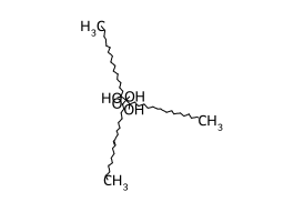 CCCCCCCCC=CCCCCCCCC(=O)C(O)(C(O)CCCCCCCCCCCCCCCC)C(O)CCCCCCCCCCCCCCCC